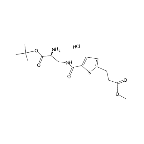 COC(=O)CCc1ccc(C(=O)NC[C@H](N)C(=O)OC(C)(C)C)s1.Cl